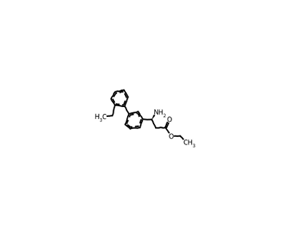 CCOC(=O)C[C@H](N)c1cccc(-c2ccccc2CC)c1